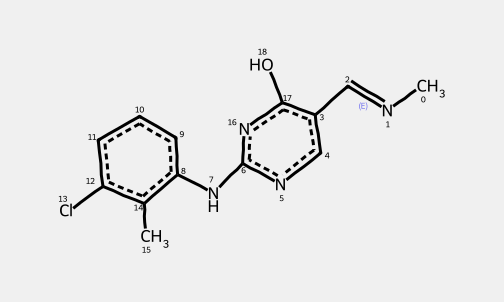 C/N=C/c1cnc(Nc2cccc(Cl)c2C)nc1O